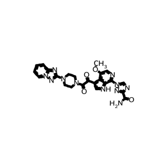 COc1cnc(-n2cnc(C(N)=O)n2)c2[nH]cc(C(=O)C(=O)N3CCN(c4nc5ccccn5n4)CC3)c12